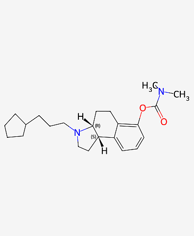 CN(C)C(=O)Oc1cccc2c1CC[C@@H]1[C@H]2CCN1CCCC1CCCC1